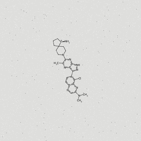 Cc1nc2c(-c3ccc4ncc(N(C)C)nc4c3Cl)n[nH]c2nc1N1CCC2(CCC[C@H]2N)CC1